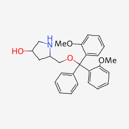 COc1ccccc1C(OCC1CC(O)CN1)(c1ccccc1)c1ccccc1OC